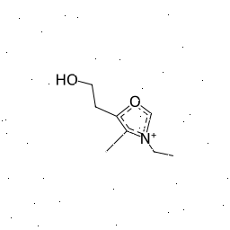 CC[n+]1coc(CCO)c1C